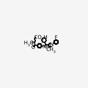 Cc1cn(-c2cccc(F)c2)cc1C(Nc1ccc(C(=O)N(C)CCC(=O)O)cc1)C1CCCCC1